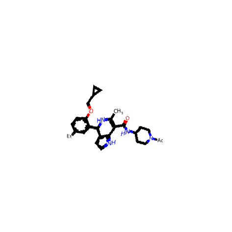 CCc1ccc(OCC2CC2)c(C2NC(C)=C(C(=O)NC3CCN(C(C)=O)CC3)c3[nH]ccc32)c1